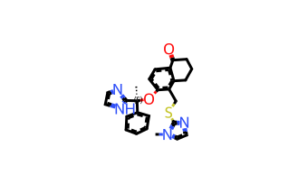 Cn1ccnc1SCc1c(O[C@@](C)(c2ccccc2)c2ncc[nH]2)ccc2c1CCCC2=O